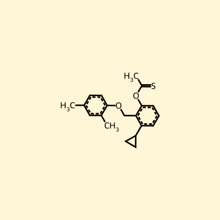 CC(=S)Oc1cccc(C2CC2)c1COc1ccc(C)cc1C